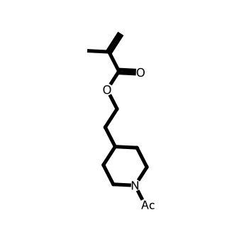 C=C(C)C(=O)OCCC1CCN(C(C)=O)CC1